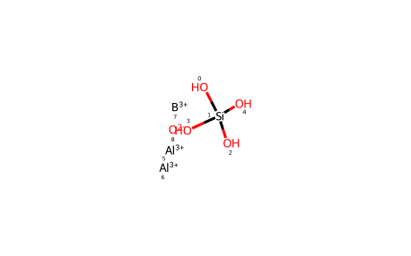 O[Si](O)(O)O.[Al+3].[Al+3].[B+3].[O-2]